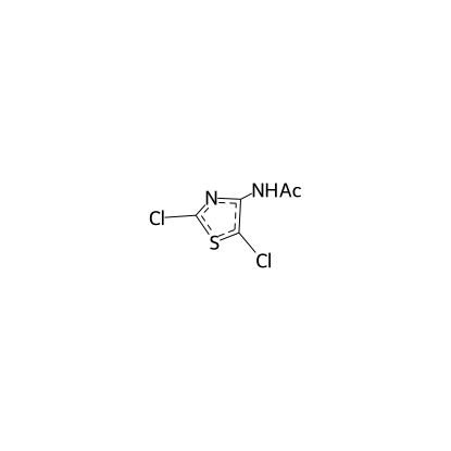 CC(=O)Nc1nc(Cl)sc1Cl